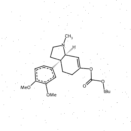 COc1ccc([C@@]23CCC(OC(=O)OC(C)(C)C)=C[C@@H]2N(C)CC3)cc1OC